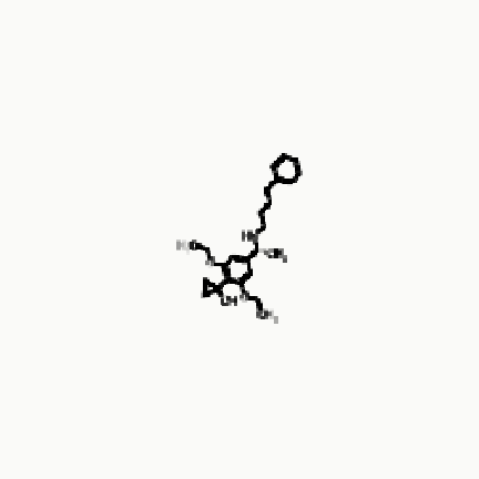 CCOc1cc([C@@H](C)NCCCCc2ccccc2)cc(OCC)c1C1(O)CC1